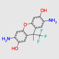 CC1(C(F)(F)F)c2cc(N)c(O)cc2Oc2cc(N)c(O)cc21